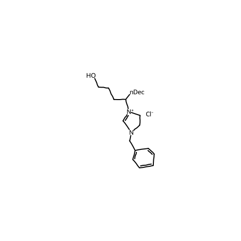 CCCCCCCCCCC(CCCO)[N+]1=CN(Cc2ccccc2)CC1.[Cl-]